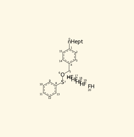 CCCCCCCc1ccc(COSc2ccccc2)cc1.F.F.F.F.F